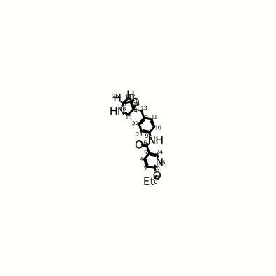 CCOc1ccc(C(=O)Nc2ccc(C[C@]34CN[C@H](CO3)[C@H]4C)cc2)cn1